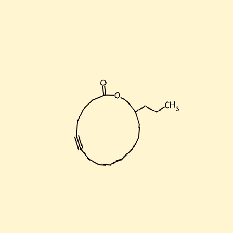 CCCC1CCCCCCCC#CCCCC(=O)OC1